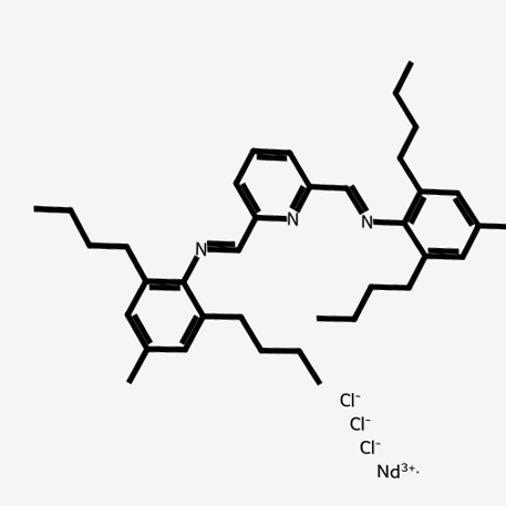 CCCCc1cc(C)cc(CCCC)c1N=Cc1cccc(C=Nc2c(CCCC)cc(C)cc2CCCC)n1.[Cl-].[Cl-].[Cl-].[Nd+3]